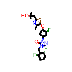 Cc1nc(CC(C)(C)O)sc1Oc1ccc(-n2ncn(Cc3c(F)cccc3F)c2=O)cc1F